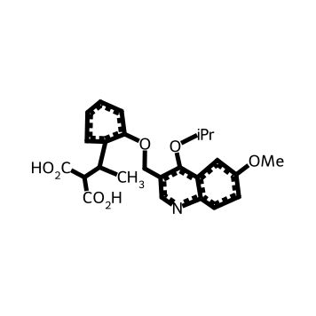 COc1ccc2ncc(COc3ccccc3C(C)C(C(=O)O)C(=O)O)c(OC(C)C)c2c1